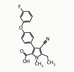 CCc1c(C#N)c(-c2ccc(Oc3cccc(F)c3)cc2)c(C(=O)O)n1C